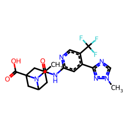 CC1CC2CC(C(=O)O)(C1)N2C(=O)Nc1cc(-c2ncn(C)n2)c(C(F)(F)F)cn1